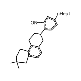 CCCCCCCc1ccc(C2CCc3c(ccc4c3CCC(C)(C)C4)C2)c(N=O)c1